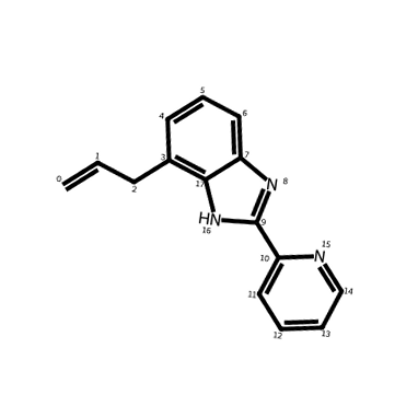 C=CCc1cccc2nc(-c3ccccn3)[nH]c12